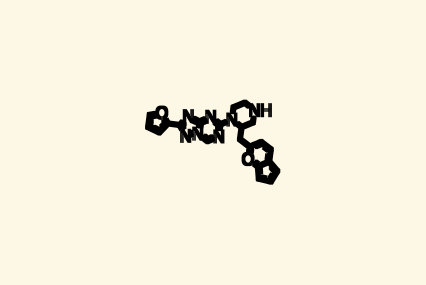 c1cc2ccc(CC3CNCCN3c3ncn4nc(-c5ccco5)nc4n3)oc-2c1